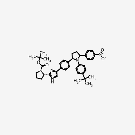 CC(C)(C)OC(=O)N1CCC[C@H]1c1nc(-c2ccc(C3CCC(c4ccc([N+](=O)[O-])cc4)N3c3ccc(C(C)(C)C)cc3)cc2)c[nH]1